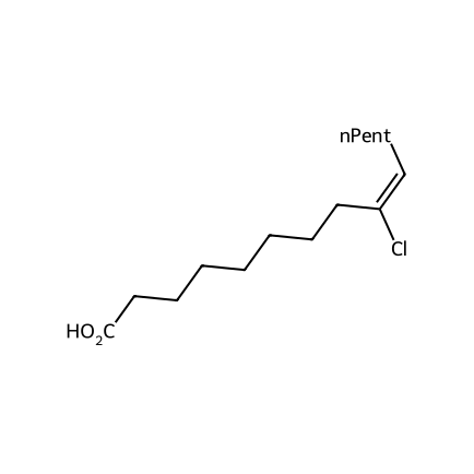 CCCCC/C=C(/Cl)CCCCCCCC(=O)O